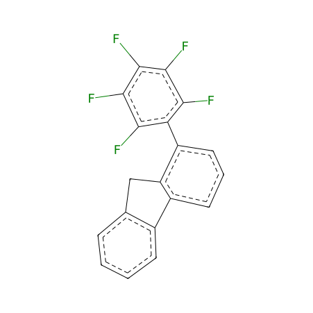 Fc1c(F)c(F)c(-c2cccc3c2Cc2ccccc2-3)c(F)c1F